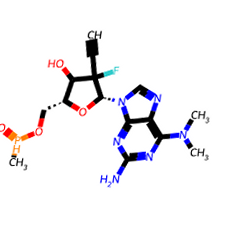 C#CC1(F)C(O)[C@@H](CO[PH](C)=O)O[C@H]1n1cnc2c(N(C)C)nc(N)nc21